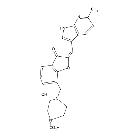 Cc1ccc2c(C=C3Oc4c(ccc(O)c4CN4CCN(C(=O)O)CC4)C3=O)c[nH]c2n1